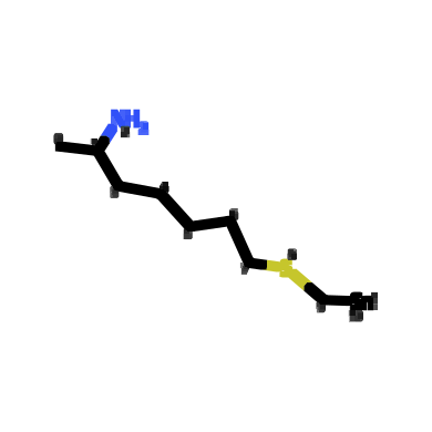 CC(N)CCCCCS[CH2][Sn]